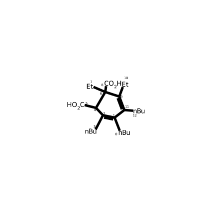 CCCCC1=C(CCCC)C(C(=O)O)C(CC)(C(=O)O)C(CC)=C1CCCC